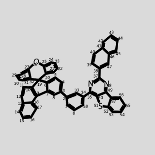 c1cc(-c2ccc3c(c2)-c2c(ccc4ccccc24)C32c3ccccc3Oc3ccccc32)cc(-c2nc(-c3ccc4ccccc4c3)nc3c2sc2ccccc23)c1